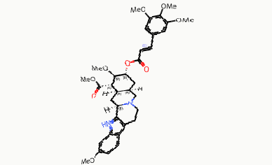 COC(=O)[C@H]1[C@@H]2C[C@@H]3c4[nH]c5cc(OC)ccc5c4CCN3C[C@@H]2C[C@@H](OC(=O)/C=C/c2cc(OC)c(OC)c(OC)c2)[C@@H]1OC